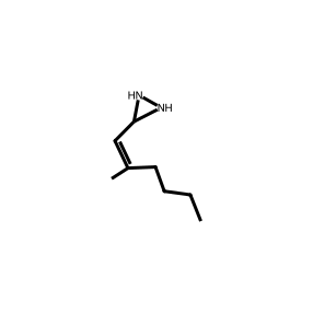 CCCC/C(C)=C\C1NN1